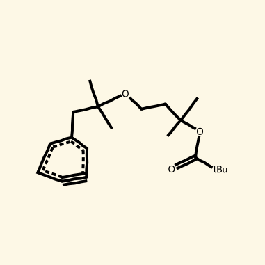 CC(C)(Cc1cc#ccc1)OCCC(C)(C)OC(=O)C(C)(C)C